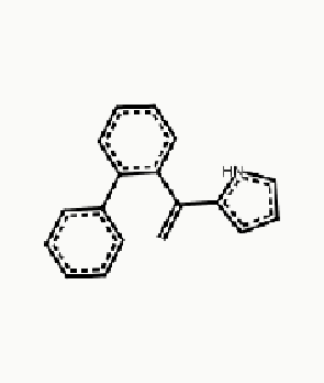 C=C(c1ccc[nH]1)c1ccccc1-c1ccccc1